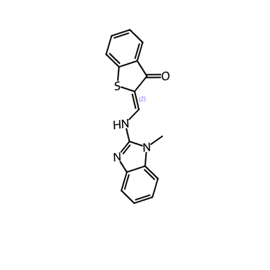 Cn1c(N/C=C2\Sc3ccccc3C2=O)nc2ccccc21